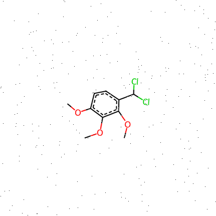 COc1ccc(C(Cl)Cl)c(OC)c1OC